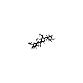 C#Cc1cc(C(=O)Nc2ccc(CN3CCN(C)CC3)c(CF)c2)ccc1C